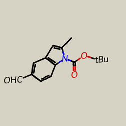 Cc1cc2cc(C=O)ccc2n1C(=O)OC(C)(C)C